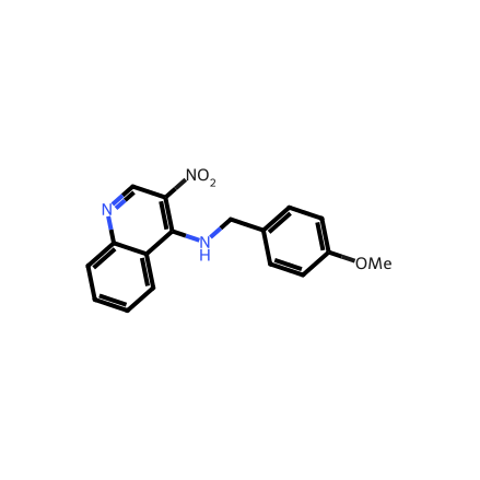 COc1ccc(CNc2c([N+](=O)[O-])cnc3ccccc23)cc1